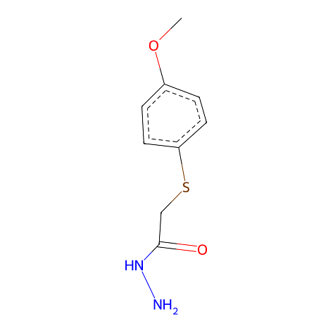 COc1ccc(SCC(=O)NN)cc1